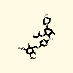 C=CC(=O)Nc1cc(N2CCN(CC)CC2)cc(C)c1Nc1ncc(OCc2c(F)c(OC)cc(OC)c2F)cn1